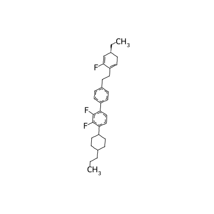 CCCC1CCC(c2ccc(-c3ccc(CCC4=CC[C@H](CC)C=C4F)cc3)c(F)c2F)CC1